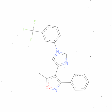 Cc1onc(-c2ccccc2)c1-c1cn(-c2cccc(C(F)(F)F)c2)cn1